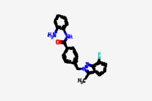 Cc1c2cccc(F)c2nn1Cc1ccc(C(=O)Nc2ccccc2N)cc1